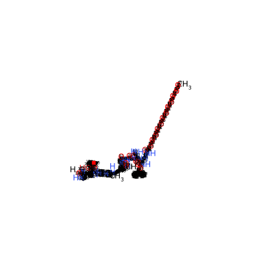 COCCOCCOCCOCCOCCOCCOCCOCCOCCOCCOCCOCCC(=O)NCCCC[C@H](NC(=O)OCC1c2ccccc2-c2ccccc21)C(=O)N[C@@H](CC(N)=O)C(=O)NCC(=O)NCN1C(=O)CCN(c2cc(C#CCNC3(C)CCN(C4CCN(c5nc([C@@](CO)(OC6CC6)c6ccccc6)c6cc(-c7cn(C)c(=O)c8[nH]ccc78)ccc6n5)CC4)CC3)ccc2OC)C1=O